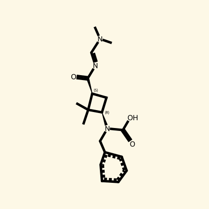 CN(C)C=NC(=O)[C@H]1C[C@@H](N(Cc2ccccc2)C(=O)O)C1(C)C